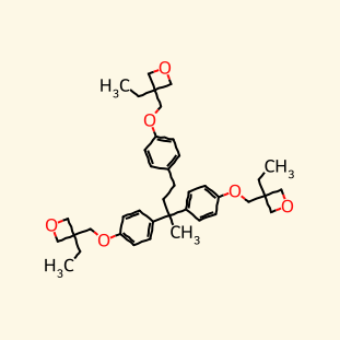 CCC1(COc2ccc(CCC(C)(c3ccc(OCC4(CC)COC4)cc3)c3ccc(OCC4(CC)COC4)cc3)cc2)COC1